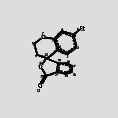 CCc1ccc2c(c1)OCCC21OC(=O)c2ccccc21